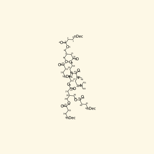 CCCCCCCCCCCCC(=O)OCC(COC(=O)CCCCCCCCCCCC)CC(=O)OCCN(CCOC(=O)CC(COC(=O)CCCCCCCCCCCC)COC(=O)CCCCCCCCCCCC)C(=O)N(C)CCN(C)C